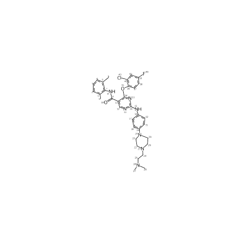 Cc1cccc(C)c1NC(=O)c1cnc(Nc2ccc(N3CCN(CCN(C)C)CC3)cc2)nc1Oc1ccc(F)cc1Cl